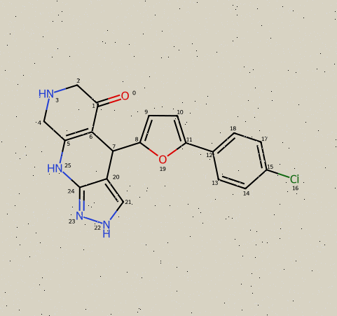 O=C1CNCC2=C1C(c1ccc(-c3ccc(Cl)cc3)o1)c1c[nH]nc1N2